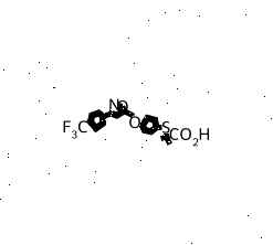 CC(C)(Sc1ccc(OCc2cc(-c3ccc(C(F)(F)F)cc3)no2)cc1)C(=O)O